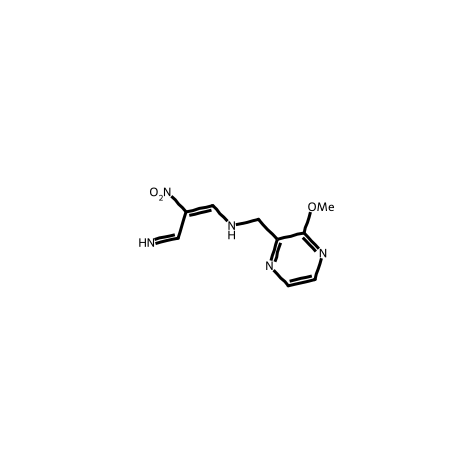 COc1nccnc1CN/C=C(\C=N)[N+](=O)[O-]